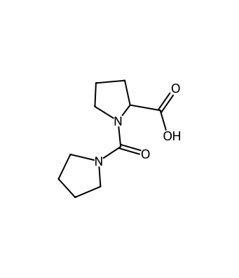 O=C(O)C1CCCN1C(=O)N1CCCC1